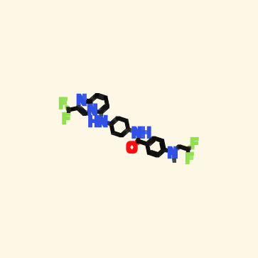 CN(CC(F)F)c1ccc(C(=O)NC2CCC(Nc3cccc4nc(C(F)F)cn34)CC2)cc1